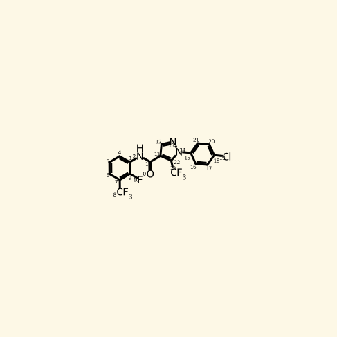 O=C(Nc1cccc(C(F)(F)F)c1F)c1cnn(-c2ccc(Cl)cc2)c1C(F)(F)F